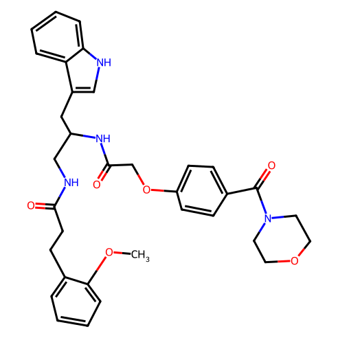 COc1ccccc1CCC(=O)NCC(Cc1c[nH]c2ccccc12)NC(=O)COc1ccc(C(=O)N2CCOCC2)cc1